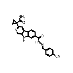 N#Cc1ccc(C=NNC(=O)c2ccc3c(c2)[nH]c2cnc(C4(C(N)=O)CC4)cc23)cc1